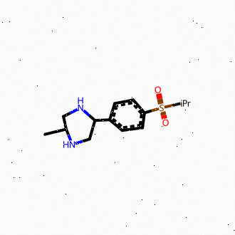 CC1CNC(c2ccc(S(=O)(=O)C(C)C)cc2)CN1